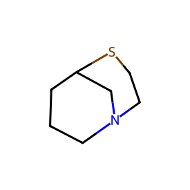 C1CC2CN(C1)CCS2